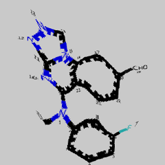 CN(c1cccc(F)c1)c1nc2nncn2c2cc(C=O)ccc12